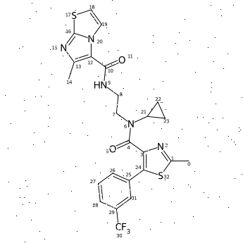 Cc1nc(C(=O)N(CCNC(=O)c2c(C)nc3sccn23)C2CC2)c(-c2cccc(C(F)(F)F)c2)s1